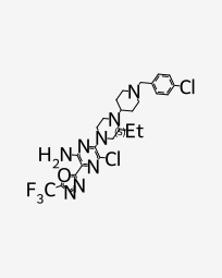 CC[C@H]1CN(c2nc(N)c(-c3nnc(C(F)(F)F)o3)nc2Cl)CCN1C1CCN(Cc2ccc(Cl)cc2)CC1